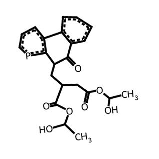 CC(O)OC(=O)CC(CC1C(=O)c2ccccc2-c2cccpc21)C(=O)OC(C)O